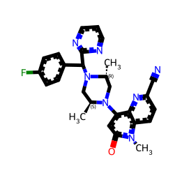 C[C@@H]1CN(c2cc(=O)n(C)c3ccc(C#N)nc23)[C@@H](C)CN1C(c1ccc(F)cc1)c1ncccn1